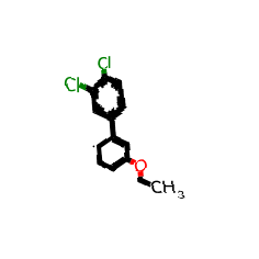 CCOC1=CC[CH]C(c2ccc(Cl)c(Cl)c2)=C1